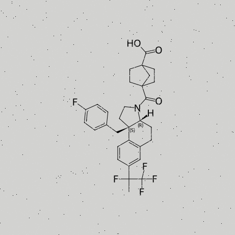 CC(F)(c1ccc2c(c1)CC[C@H]1N(C(=O)C34CCC(C(=O)O)(CC3)C4)CC[C@@]21Cc1ccc(F)cc1)C(F)(F)F